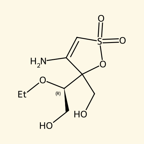 CCO[C@H](CO)C1(CO)OS(=O)(=O)C=C1N